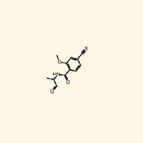 COc1cc(C#N)ccc1C(=O)NC(C)[C]=O